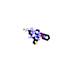 Cc1cc(Nc2nc(NC3CC4CCCC(C3)N4C(=O)CN3CCN(C)CC3)nc3sccc23)n[nH]1